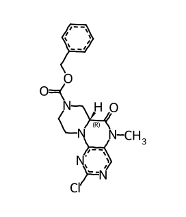 CN1C(=O)[C@H]2CN(C(=O)OCc3ccccc3)CCN2c2nc(Cl)ncc21